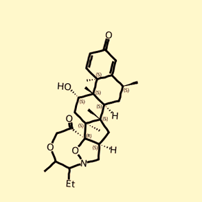 CCC1C(C)OCC(=O)[C@@]23ON1C[C@@H]2C[C@@]1(C)[C@@H]2C[C@H](C)C4=CC(=O)C=C[C@]4(C)[C@@]2(C)[C@@H](O)C[C@@]13C